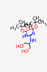 CC(C)(C)OC(=O)/N=C(\NC(=O)OC(C)(C)C)NC(CO)CO